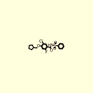 O=C(NS(=O)(=O)c1ccccc1)c1cc(Cl)c(OCC2CCCC2)cc1F